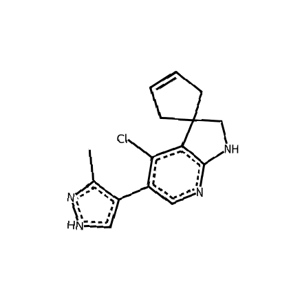 Cc1n[nH]cc1-c1cnc2c(c1Cl)C1(CC=CC1)CN2